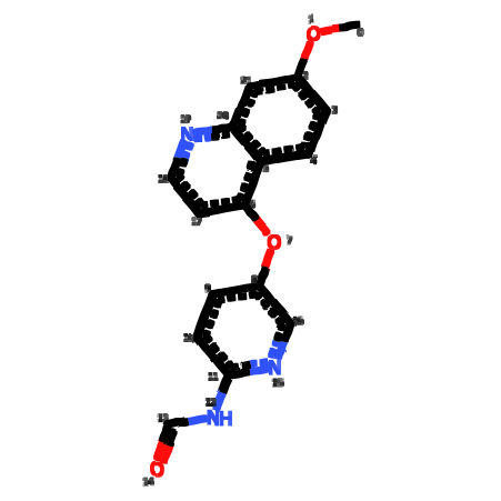 COc1ccc2c(Oc3ccc(NC=O)nc3)ccnc2c1